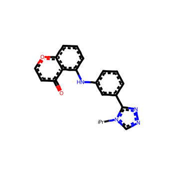 CC(C)n1cnnc1-c1cccc(Nc2cccc3occc(=O)c23)c1